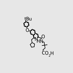 CC(C)(CCC(=O)O)CNC(=O)c1cc2ccc(Oc3ccc(C(C)(C)C)cc3)cc2c(CC2CCCC2)n1